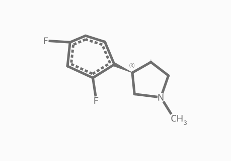 CN1C[CH][C@H](c2ccc(F)cc2F)C1